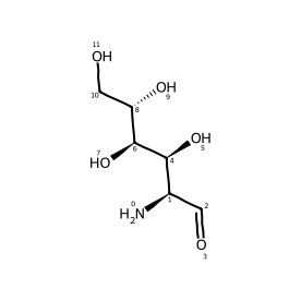 N[C@H](C=O)[C@H](O)[C@@H](O)[C@@H](O)CO